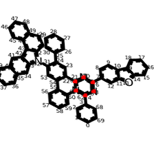 c1ccc(-c2nc(-c3ccc4c(c3)oc3ccccc34)nc(-c3cc(-c4ccccc4)c(-n4c5cc6ccccc6cc5c5c6ccccc6ccc54)cc3-c3ccccc3-c3ccccc3)n2)cc1